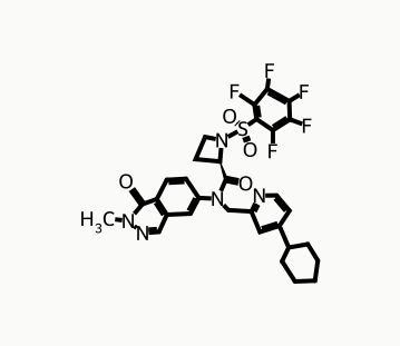 Cn1ncc2cc(N(Cc3cc(C4CCCCC4)ccn3)C(=O)[C@H]3CCN3S(=O)(=O)c3c(F)c(F)c(F)c(F)c3F)ccc2c1=O